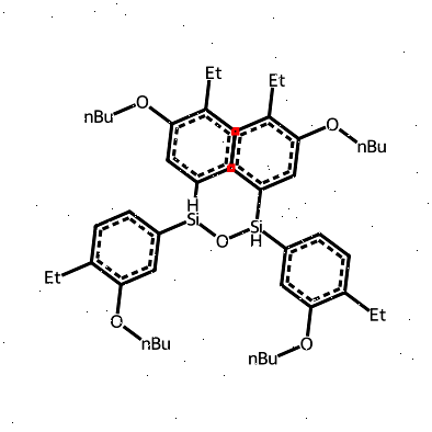 CCCCOc1cc([SiH](O[SiH](c2ccc(CC)c(OCCCC)c2)c2ccc(CC)c(OCCCC)c2)c2ccc(CC)c(OCCCC)c2)ccc1CC